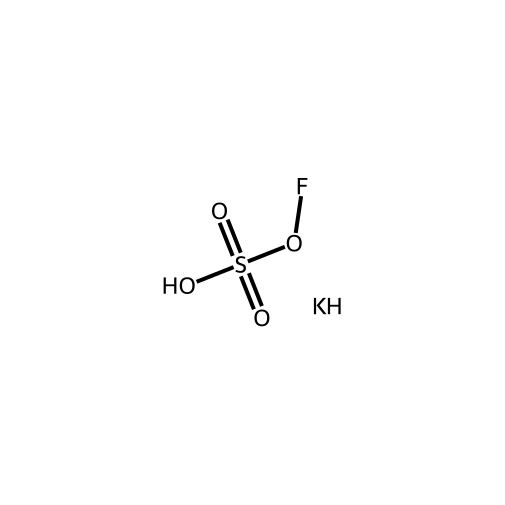 O=S(=O)(O)OF.[KH]